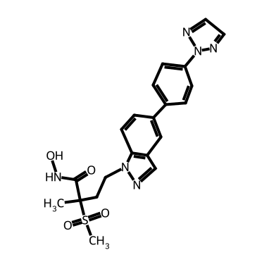 CC(CCn1ncc2cc(-c3ccc(-n4nccn4)cc3)ccc21)(C(=O)NO)S(C)(=O)=O